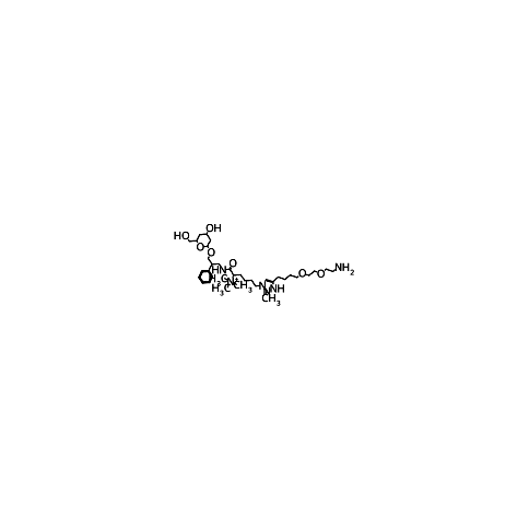 CN1NC(CCCCOCCOCCN)=CN1CCCCC(C(=O)NCC(COC1CC(O)CC(CO)O1)c1ccccc1)[N+](C)(C)C